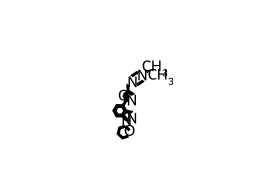 CC(C)N1CCN(Cc2cnc(-c3cccc4c3cnn4C3CCCCO3)o2)CC1